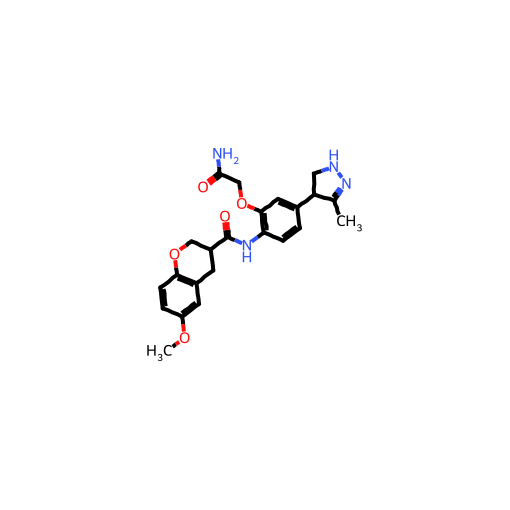 COc1ccc2c(c1)CC(C(=O)Nc1ccc(C3CNN=C3C)cc1OCC(N)=O)CO2